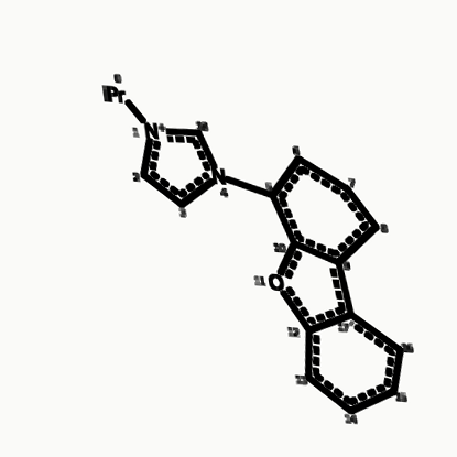 CC(C)[n+]1ccn(-c2cccc3c2oc2ccccc23)c1